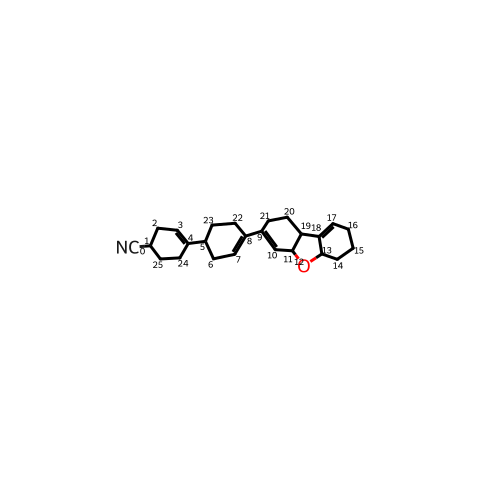 N#CC1CC=C(C2CC=C(C3=CC4OC5CCCC=C5C4CC3)CC2)CC1